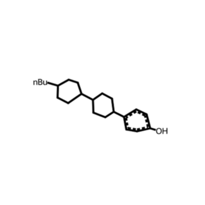 CCCCC1CCC(C2CCC(c3ccc(O)cc3)CC2)CC1